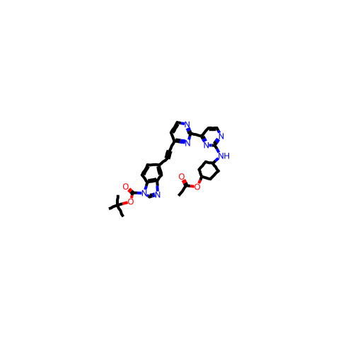 CC(=O)OC1CCC(Nc2nccc(-c3nccc(C#Cc4ccc5c(c4)ncn5C(=O)OC(C)(C)C)n3)n2)CC1